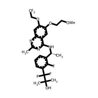 COCCOc1cc2c(N[C@H](C)c3cccc(C(F)(F)C(C)(C)O)c3F)nc(C)nc2cc1OCC(F)(F)F